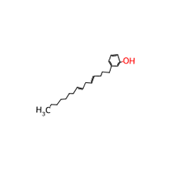 CCCCCCCC=CCC=CCCCc1cccc(O)c1